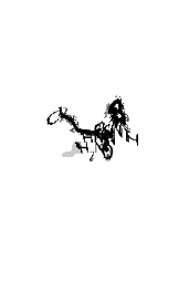 NC(=O)c1nc(Nc2ccc3ccccc3c2)sc1NC(=O)C#CCCCCl